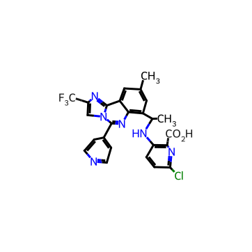 Cc1cc(C(C)Nc2ccc(Cl)nc2C(=O)O)c2nc(-c3ccncc3)n3cc(C(F)(F)F)nc3c2c1